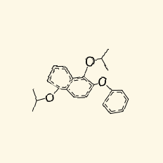 CC(C)Oc1cccc2c(OC(C)C)c(Oc3ccccc3)ccc12